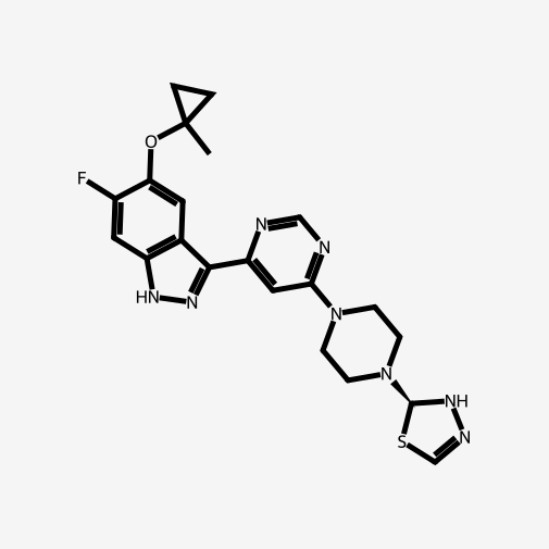 CC1(Oc2cc3c(-c4cc(N5CCN([C@H]6NN=CS6)CC5)ncn4)n[nH]c3cc2F)CC1